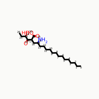 CCCCCCCCCCCCCCC(N)CC(C(=O)O)C(=O)C(O)CC